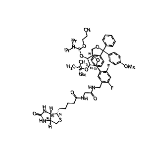 COc1ccc(C(OC[C@H]2O[C@@H](c3cc(CNC(=O)CNC(=O)CCCC[C@@H]4SC[C@@H]5NC(=O)N[C@@H]54)c(F)cc3F)[C@@H](O[Si](C)(C)C(C)(C)C)C2OP(OCCC#N)N(C(C)C)C(C)C)(c2ccccc2)c2ccccc2)cc1